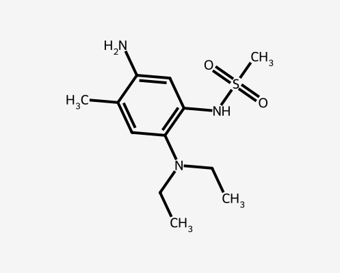 CCN(CC)c1cc(C)c(N)cc1NS(C)(=O)=O